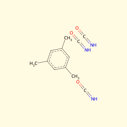 Cc1cc(C)cc(C)c1.N=C=O.N=C=O.N=C=O